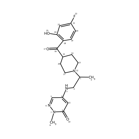 CC(CNc1cnn(C)c(=O)c1)N1CCC(C(=O)c2ccc(F)cc2O)CC1